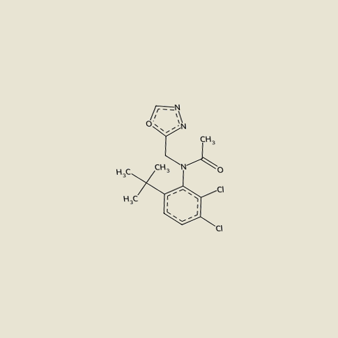 CC(=O)N(Cc1nnco1)c1c(C(C)(C)C)ccc(Cl)c1Cl